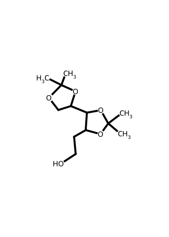 CC1(C)OCC(C2OC(C)(C)OC2CCO)O1